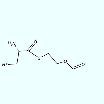 N[C@@H](CS)C(=O)SCCOC=O